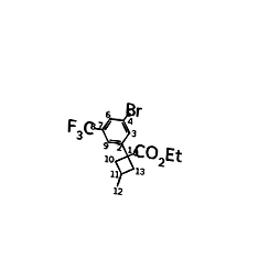 CCOC(=O)C1(c2cc(Br)cc(C(F)(F)F)c2)CC(C)C1